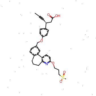 CC#C[C@@H](CC(=O)O)c1ccc(OCc2ccc3c(c2)-c2ccc(OCCCS(C)(=O)=O)nc2CCC3)cc1